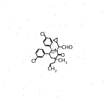 C=CC[C@@]1(C)CC(c2cccc(Cl)c2)[C@@H](c2ccc(Cl)cc2)N(C(C=O)C2CC2)C1=O